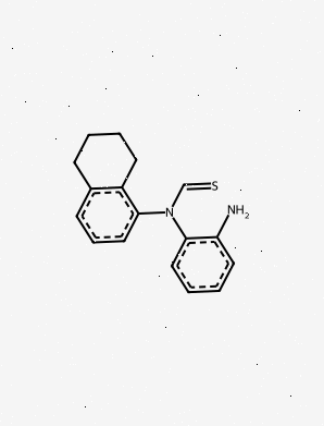 Nc1ccccc1N(C=S)c1cccc2c1CCCC2